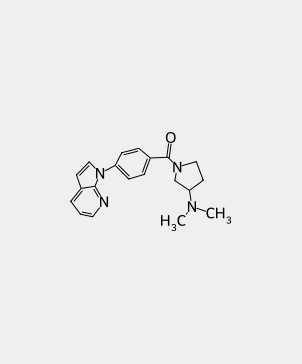 CN(C)C1CCN(C(=O)c2ccc(-n3ccc4cccnc43)cc2)C1